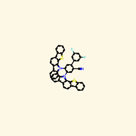 N#Cc1cc(-n2c3ccccc3c3ccc4c5ccccc5sc4c32)c(-n2c3ccccc3c3ccc4c5ccccc5sc4c32)cc1-c1cc(F)cc(F)c1